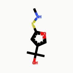 CNSc1cc(C(C)(C)O)co1